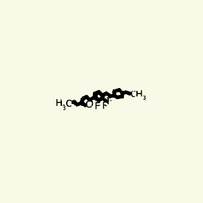 CCCC1CCC(CCc2ccc(C3CCC(CCC)CO3)c(F)c2C(F)F)CC1